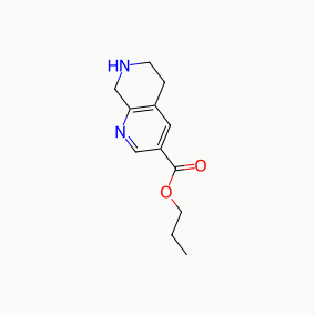 CCCOC(=O)c1cnc2c(c1)CCNC2